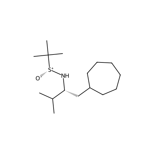 CC(C)[C@@H](CC1CCCCCC1)N[S@+]([O-])C(C)(C)C